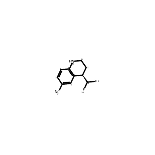 N#Cc1ccc2c(c1)[C@H](C(F)F)CCN2